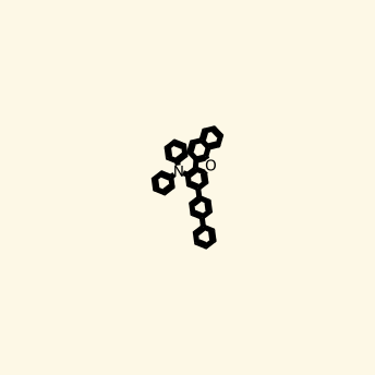 c1ccc(-c2ccc(-c3cc(N(c4ccccc4)c4ccccc4)c4c(c3)oc3c5ccccc5ccc34)cc2)cc1